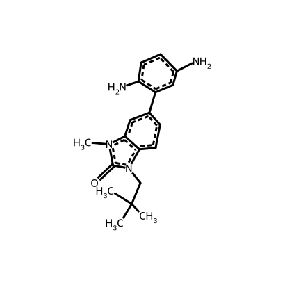 Cn1c(=O)n(CC(C)(C)C)c2ccc(-c3cc(N)ccc3N)cc21